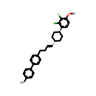 CCCc1ccc(-c2ccc(CCC=C[C@H]3CC[C@H](c4ccc(OCC)c(F)c4F)CC3)cc2)cc1